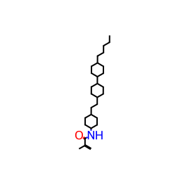 C=C(C)C(=O)NC1CCC(CCC2CCC(C3CCC(CCCCC)CC3)CC2)CC1